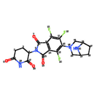 O=C1CCC(N2C(=O)c3c(F)c(F)c(N4CC5CCC(C4)N5)c(F)c3C2=O)C(=O)N1